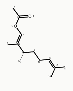 CC(=O)O/C=C(\C)[C@@H](C)CCC=C(C)C